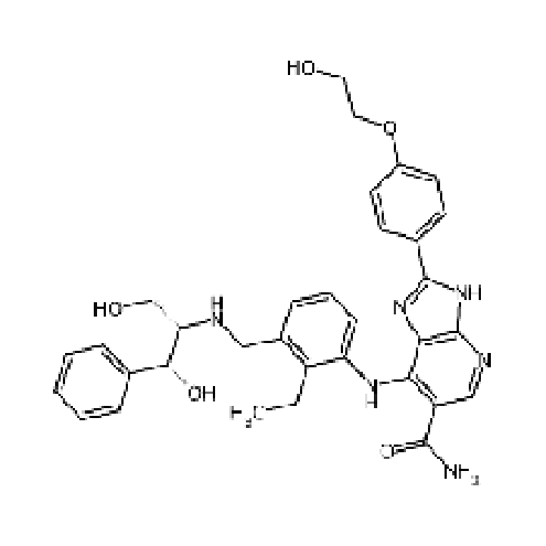 CCc1c(CN[C@@H](CO)[C@H](O)c2ccccc2)cccc1Nc1c(C(N)=O)cnc2[nH]c(-c3ccc(OCCO)cc3)nc12